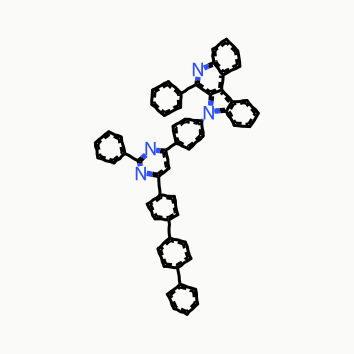 c1ccc(-c2ccc(-c3ccc(-c4cc(-c5ccc(-n6c7ccccc7c7c8ccccc8nc(-c8ccccc8)c76)cc5)nc(-c5ccccc5)n4)cc3)cc2)cc1